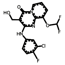 O=c1c(CO)c(Nc2ccc(F)c(Cl)c2)nc2c(OC(F)F)cccn12